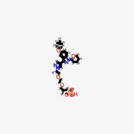 C[C@@H](COCCOC[C@H](C)n1cc(-c2nn(C3CCCCO3)c3ccc(O[Si](C)(C)C(C)(C)C)cc23)cn1)CS(=O)(=O)O